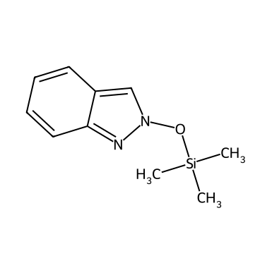 C[Si](C)(C)On1cc2ccccc2n1